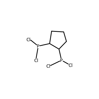 ClP(Cl)C1CCCC1P(Cl)Cl